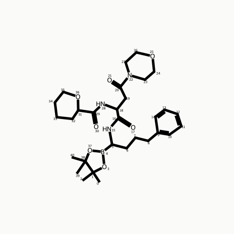 CC1(C)OB(C(CCCc2ccccc2)NC(=O)C(CC(=O)N2CCOCC2)NC(=O)C2CCCCO2)OC1(C)C